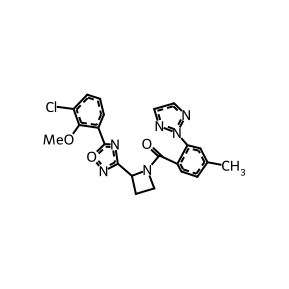 COc1c(Cl)cccc1-c1nc(C2CCN2C(=O)c2ccc(C)cc2-n2nccn2)no1